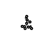 CC1(C)c2ccccc2-c2ccc(N(c3ccc(-c4cc5sc6ccccc6c5cc4-c4ccccc4)cc3)c3cc4ccccc4c4ccccc34)cc21